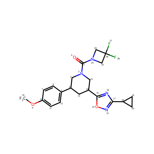 O=C(N1CC(c2ccc(OC(F)(F)F)cc2)CC(c2nc(C3CC3)no2)C1)N1CC(F)(F)C1